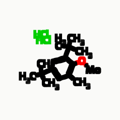 Cc1cc(C(C)(C)C)cc(C(C)(C)C)c1[O][Mo].Cl.Cl